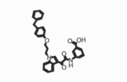 O=C(Nc1cccc(C(=O)O)c1)C(=O)c1cn(CCCOc2ccc(Cc3ccccc3)cc2)c2ccccc12